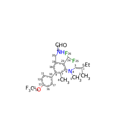 CC/C(C)=C/N(C)c1c(C)c(-c2ccc(OC(F)(F)F)cc2)cc(CNC=O)c1C(F)F